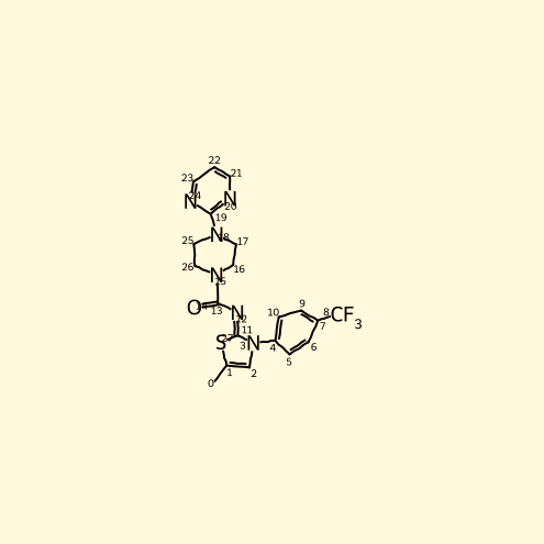 Cc1cn(-c2ccc(C(F)(F)F)cc2)/c(=N/C(=O)N2CCN(c3ncccn3)CC2)s1